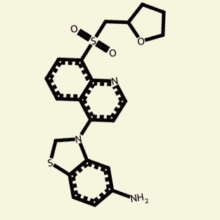 Nc1ccc2c(c1)N(c1ccnc3c(S(=O)(=O)CC4CCCO4)cccc13)CS2